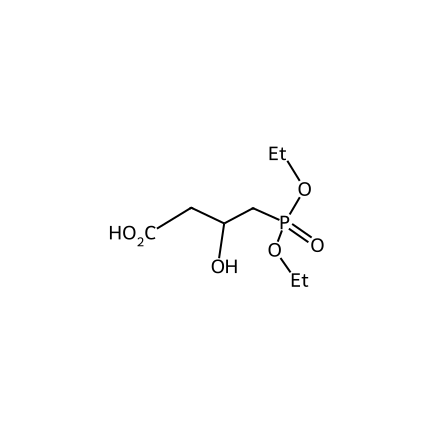 CCOP(=O)(CC(O)CC(=O)O)OCC